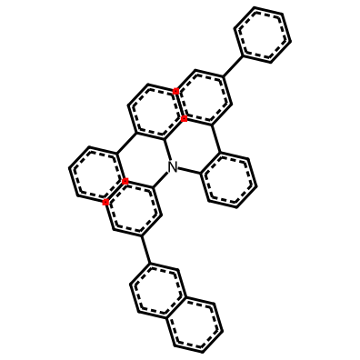 c1ccc(-c2cccc(-c3ccccc3N(c3cccc(-c4ccc5ccccc5c4)c3)c3ccccc3-c3ccccc3)c2)cc1